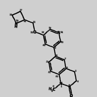 CN1C(=O)CCc2cc(-c3cncc(OCC4CCN4)c3)ccc21